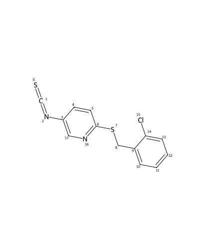 S=C=Nc1ccc(SCc2ccccc2Cl)nc1